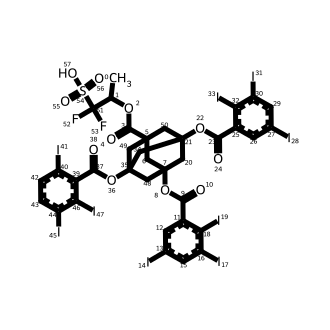 CC(OC(=O)C12CC3(OC(=O)c4cc(I)cc(I)c4I)CC(OC(=O)c4cc(I)cc(I)c4I)(CC(OC(=O)c4c(I)ccc(I)c4I)(C3)C1)C2)C(F)(F)S(=O)(=O)O